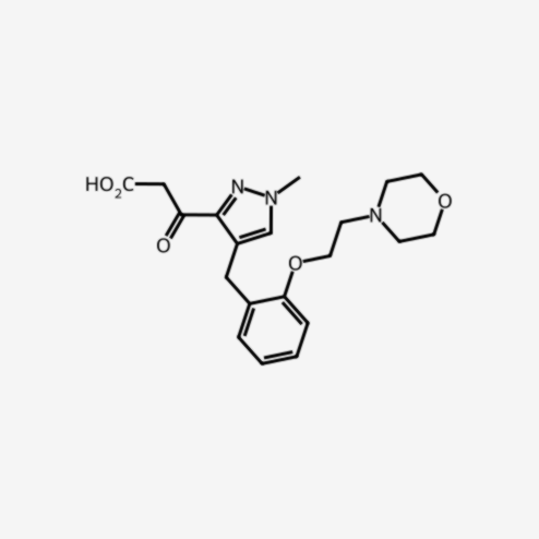 Cn1cc(Cc2ccccc2OCCN2CCOCC2)c(C(=O)CC(=O)O)n1